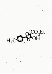 CCOC(=O)c1oc(-c2ccc(C)cc2)nc1O